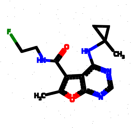 Cc1oc2ncnc(NC3(C)CC3)c2c1C(=O)NCCF